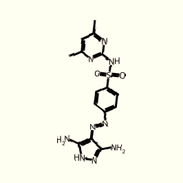 Cc1cc(C)nc(NS(=O)(=O)c2ccc(N=Nc3c(N)n[nH]c3N)cc2)n1